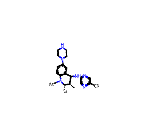 CC[C@H]1[C@H](C)C(Nc2cnc(C#N)cn2)c2cc(N3CCNCC3)ccc2N1C(C)=O